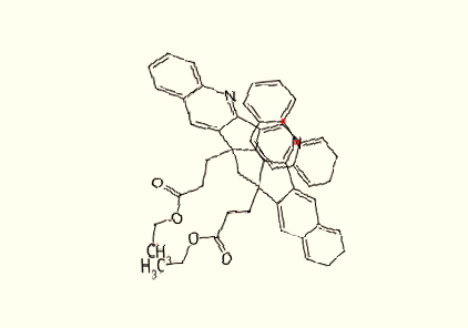 CCOC(=O)CCC1(CC2(CCC(=O)OCC)c3cc4c(cc3-c3nc5ccccc5cc32)=CCCC=4)c2cc3c(cc2-c2nc4ccccc4cc21)=CCCC=3